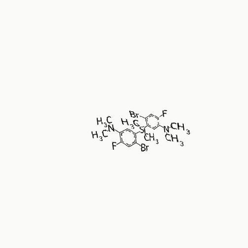 CN(C)c1cc([Si](C)(C)c2cc(N(C)C)c(F)cc2Br)c(Br)cc1F